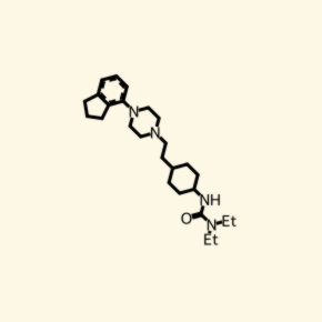 CCN(CC)C(=O)NC1CCC(CCN2CCN(c3cccc4c3CCC4)CC2)CC1